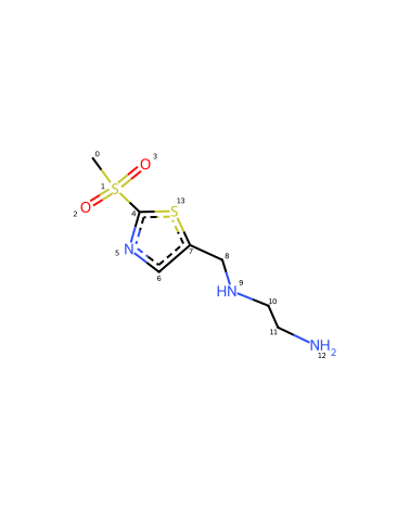 CS(=O)(=O)c1ncc(CNCCN)s1